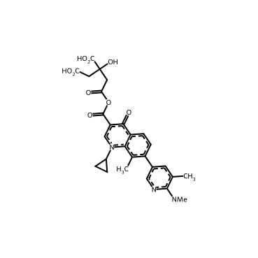 CNc1ncc(-c2ccc3c(=O)c(C(=O)OC(=O)CC(O)(CC(=O)O)C(=O)O)cn(C4CC4)c3c2C)cc1C